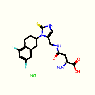 Cl.N[C@@H](CC(=O)NCc1c[nH]c(=S)n1C1CCc2c(F)cc(F)cc2C1)C(=O)O